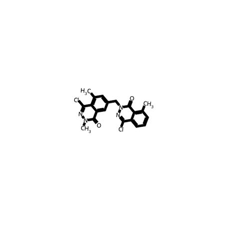 Cc1cc(Cn2nc(Cl)c3cccc(C)c3c2=O)cc2c(=O)n(C)nc(Cl)c12